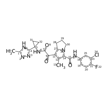 Cc1nnc(C2(NC(=O)C(=O)c3c(C)c(C(=O)Nc4ccc(F)c(Cl)c4)n4c3CCC4)CC2)[nH]1